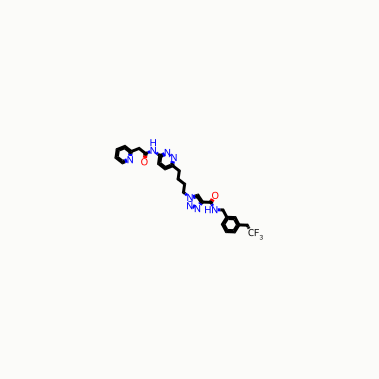 O=C(Cc1ccccn1)Nc1ccc(CCCCn2cc(C(=O)NCc3cccc(CC(F)(F)F)c3)nn2)nn1